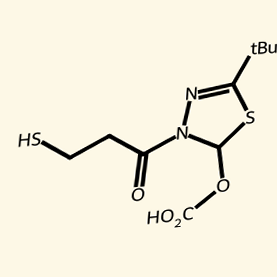 CC(C)(C)C1=NN(C(=O)CCS)C(OC(=O)O)S1